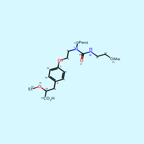 CCCCCN(CCOc1ccc(CC(OCC)C(=O)O)cc1)C(=O)NCCOC